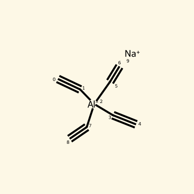 C#[C][Al-]([C]#C)([C]#C)[C]#C.[Na+]